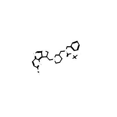 COc1ccc2ncc3c(c2n1)C(CN1CCCC(CN(Cc2ccccc2)C(=O)OC(C)(C)C)C1)CO3